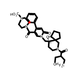 O=C(O)N1CCN(C(=O)c2cn(C[C@]3(O)CCN(C(=O)C(CO)CC(F)(F)F)CC34CCCC4)c(=O)cc2-c2ccccc2)CC1